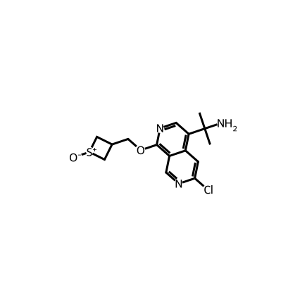 CC(C)(N)c1cnc(OCC2C[S+]([O-])C2)c2cnc(Cl)cc12